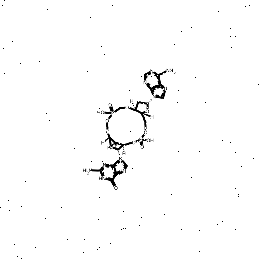 Nc1nc2c(ncn2[C@@H]2O[C@@H]3COP(=O)(O)CO[C@H]4C[C@H](n5cnc6c(N)ncnc65)O[C@@H]4COP(=O)(O)O[C@@H]2[C@@H]3F)c(=O)[nH]1